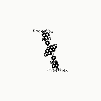 CCCCCCN(CCCCCC)c1ccc2c3c(cccc13)C(=O)N(c1ccc(Oc3cc4c5c(ccc6c7c(Oc8ccc(N9C(=O)c%10cccc%11c(N(CCCCCC)CCCCCC)ccc(c%10%11)C9=O)cc8)cc8c9c(ccc(c3c56)c97)COC8)COC4)cc1)C2=O